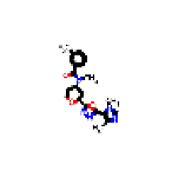 Cc1ncn(C)c1-c1nnc([C@@H]2C[C@H](N(C)C(=O)c3cccc(C(F)(F)F)c3)CCO2)o1